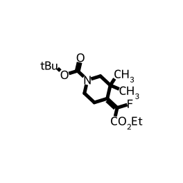 CCOC(=O)C(F)=C1CCN(C(=O)OC(C)(C)C)CC1(C)C